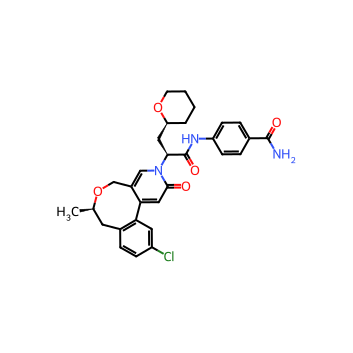 C[C@@H]1Cc2ccc(Cl)cc2-c2cc(=O)n([C@@H](C[C@@H]3CCCCO3)C(=O)Nc3ccc(C(N)=O)cc3)cc2CO1